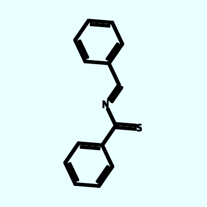 S=C(N=Cc1ccccc1)c1ccccc1